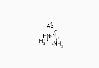 CC(=O)CC(CN)NP